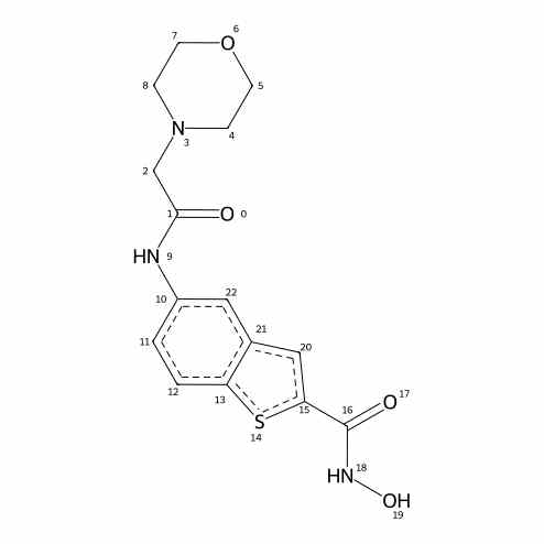 O=C(CN1CCOCC1)Nc1ccc2sc(C(=O)NO)cc2c1